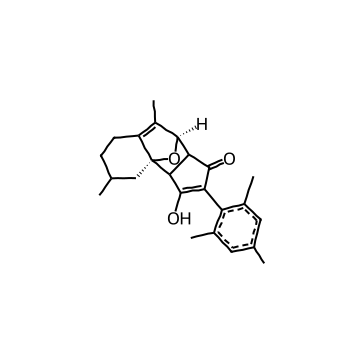 CC1=C2CCC(C)C[C@@]23O[C@@H]1C1C(=O)C(c2c(C)cc(C)cc2C)=C(O)C13